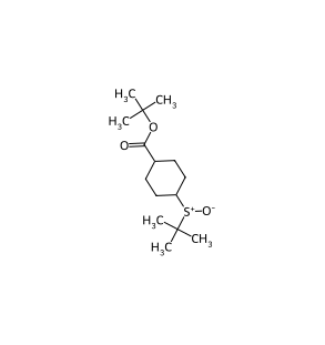 CC(C)(C)OC(=O)C1CCC([S+]([O-])C(C)(C)C)CC1